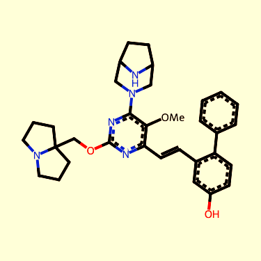 COc1c(/C=C/c2cc(O)ccc2-c2ccccc2)nc(OCC23CCCN2CCC3)nc1N1CC2CCC(C1)N2